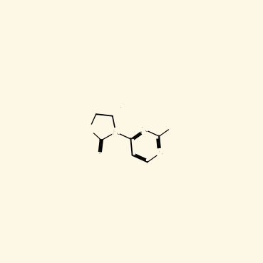 CC[C@H]1COC(=O)N1c1ccnc(Cl)n1